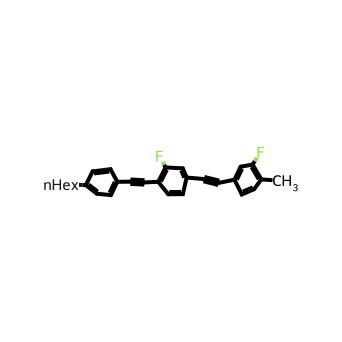 CCCCCCc1ccc(C#Cc2ccc(C#Cc3ccc(C)c(F)c3)cc2F)cc1